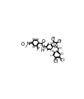 O=C(Nc1ccc2c(c1)C(=O)C(=O)N2Cc1ccc(Cl)c(Cl)c1)c1ccc([N+](=O)[O-])cc1F